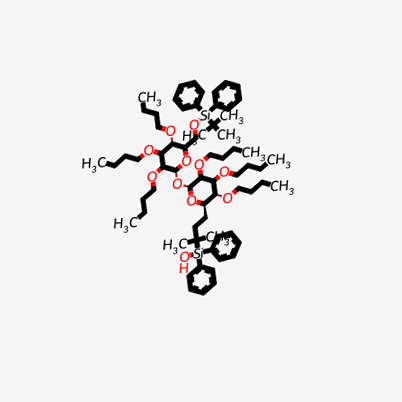 CCCCOC1C(OCCCC)[C@H](OCCCC)C(CO[Si](c2ccccc2)(c2ccccc2)C(C)(C)C)O[C@@H]1O[C@H]1O[C@H](CCC(C)(C)[Si](O)(c2ccccc2)c2ccccc2)[C@@H](OCCCC)C(OCCCC)C1OCCCC